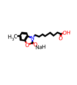 Cc1ccc2c(c1)oc(=O)n2CCCCCCCC(=O)O.[NaH]